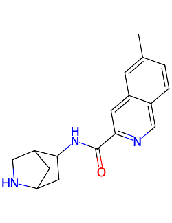 Cc1ccc2cnc(C(=O)NC3CC4CC3CN4)cc2c1